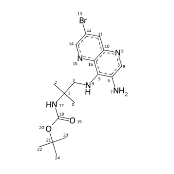 CC(C)(CNc1c(N)cnc2cc(Br)cnc12)NC(=O)OC(C)(C)C